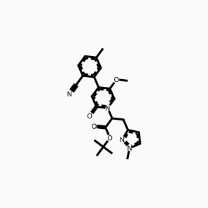 COc1cn(C(Cc2ccn(C)n2)C(=O)OC(C)(C)C)c(=O)cc1-c1cc(C)ccc1C#N